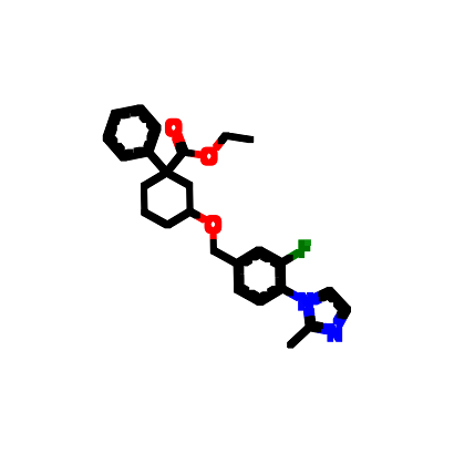 CCOC(=O)C1(c2ccccc2)CCCC(OCc2ccc(-n3ccnc3C)c(F)c2)C1